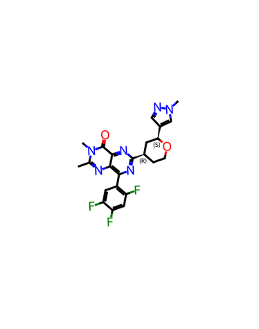 Cc1nc2c(-c3cc(F)c(F)cc3F)nc([C@@H]3CCO[C@H](c4cnn(C)c4)C3)nc2c(=O)n1C